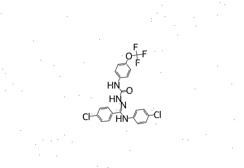 O=C(NN=C(Nc1ccc(Cl)cc1)c1ccc(Cl)cc1)Nc1ccc(OC(F)(F)F)cc1